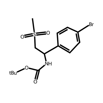 CC(C)(C)OC(=O)NC(CS(C)(=O)=O)c1ccc(Br)cc1